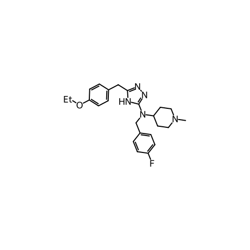 CCOc1ccc(Cc2nnc(N(Cc3ccc(F)cc3)C3CCN(C)CC3)[nH]2)cc1